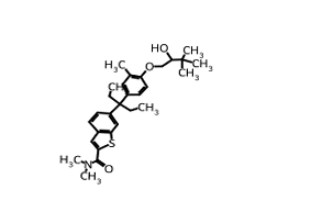 CCC(CC)(c1ccc(OCC(O)C(C)(C)C)c(C)c1)c1ccc2cc(C(=O)N(C)C)sc2c1